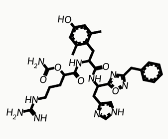 Cc1cc(O)cc(C)c1CC(NC(=O)C(CCCNC(=N)N)OC(N)=O)C(=O)NC(Cc1c[nH]cn1)c1nc(Cc2ccccc2)no1